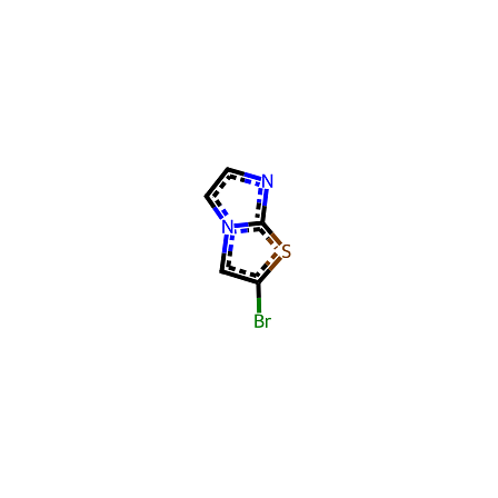 Brc1cn2ccnc2s1